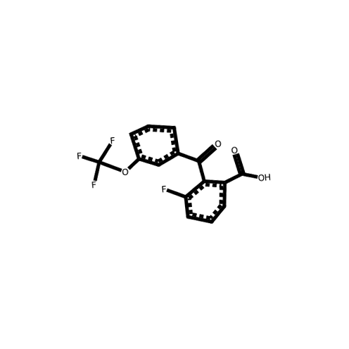 O=C(O)c1cccc(F)c1C(=O)c1cccc(OC(F)(F)F)c1